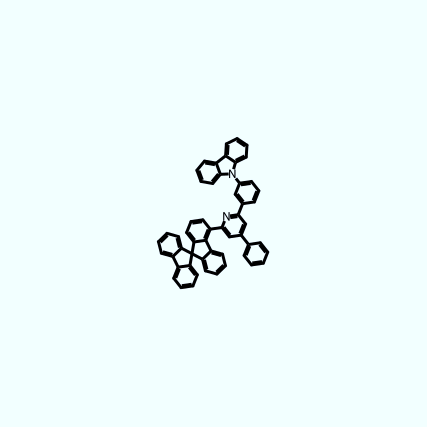 c1ccc(-c2cc(-c3cccc(-n4c5ccccc5c5ccccc54)c3)nc(-c3cccc4c3-c3ccccc3C43c4ccccc4-c4ccccc43)c2)cc1